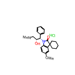 CNC[C@@H](O)[C@H](c1ccccc1)N1C(=O)C2(CCCCC2)c2cc(OC)ccc21.Cl